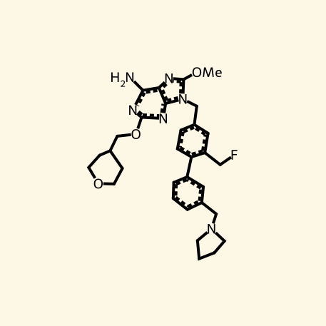 COc1nc2c(N)nc(OCC3CCOCC3)nc2n1Cc1ccc(-c2cccc(CN3CCCC3)c2)c(CF)c1